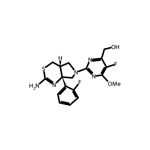 COc1nc(N2C[C@H]3CSC(N)=N[C@@]3(c3ccccc3F)C2)nc(CO)c1F